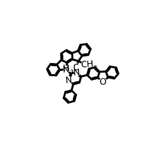 CC1(C)c2ccccc2-c2ccc3c4ccccc4n(-c4nc(-c5ccccc5)cc(-c5ccc6c(c5)oc5ccccc56)n4)c3c21